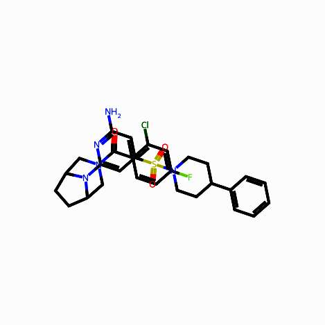 Nc1cc(S(=O)(=O)N2CCC(c3ccccc3)CC2)cc(N2C3CCC2CN(C(=O)c2ccc(F)cc2Cl)C3)n1